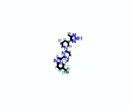 C=N/C(=N\C(=C/C)N1C[C@H](C)C[C@H](c2n[nH]nc2C)C1)c1cnc2ccc(C(F)(F)F)cn12